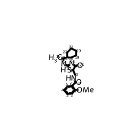 COc1ccccc1C(=O)NCC1SC(N[C@@H](C)C2CCCCC2)=NC1=O